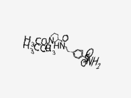 CC(C)(C)OC(=O)N1CCCC(C(=O)NCCc2ccc(S(N)(=O)=O)cc2)C1